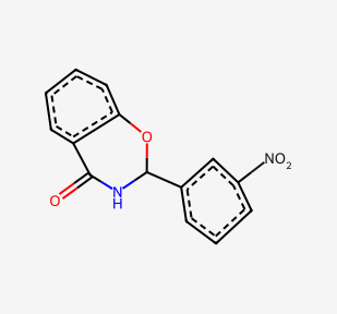 O=C1NC(c2cccc([N+](=O)[O-])c2)Oc2ccccc21